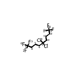 FC(F)(F)CCCC(Cl)(Cl)CCCC(F)(F)F